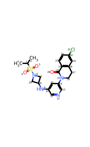 CC(C)S(=O)(=O)N1CC(Nc2cncc(N3CCc4cc(Cl)ccc4C3=O)c2)C1